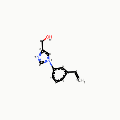 C=Cc1cccc(-n2cnc(CO)c2)c1